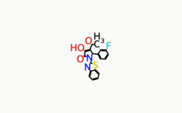 CC(=O)C1=C(O)C(=O)N(c2nc3ccccc3s2)C1c1cccc(F)c1